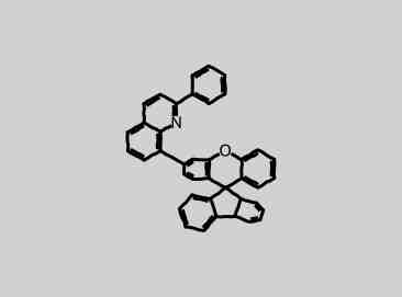 C1=CC2c3ccccc3C3(c4ccccc4Oc4cc(-c5cccc6ccc(-c7ccccc7)nc56)ccc43)C2C=C1